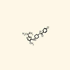 Cc1cnc(N(C)C)nc1NC1CCC(NC(=O)c2ccc(Cl)cc2)CC1